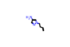 C=CCCn1cc(N)cn1